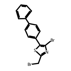 BrCc1nc(Br)c(-c2ccc(-c3ccccc3)cc2)s1